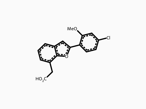 COc1cc(Cl)ccc1-c1cc2cccc(CC(=O)O)c2o1